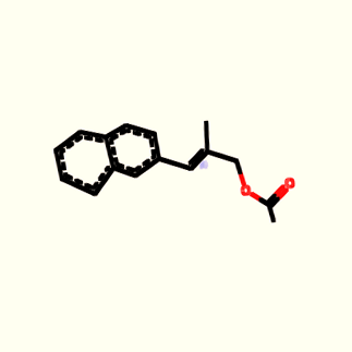 CC(=O)OC/C(C)=C/c1ccc2ccccc2c1